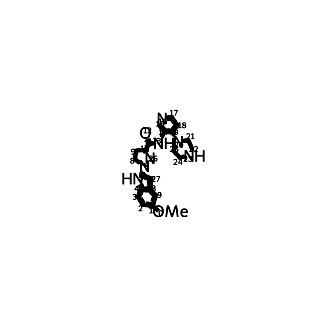 COc1ccc2[nH]c(N3CCC(C(=O)Nc4cnccc4N4CCNCC4)=N3)cc2c1